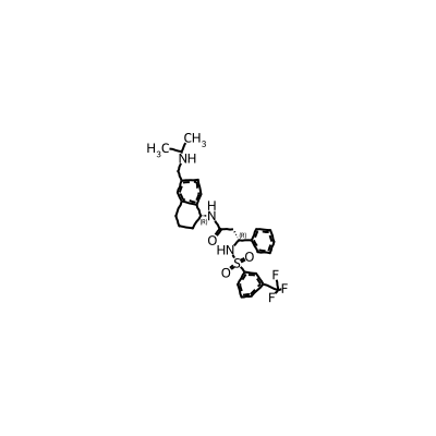 CC(C)NCc1ccc2c(c1)CCC[C@H]2NC(=O)C[C@@H](NS(=O)(=O)c1cccc(C(F)(F)F)c1)c1ccccc1